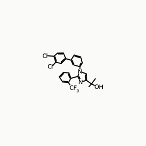 CC(C)(O)c1cn(-c2cccc(-c3ccc(Cl)c(Cl)c3)c2)c(-c2ccccc2C(F)(F)F)n1